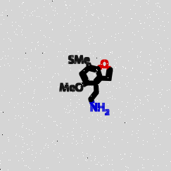 COc1cc(SC)c2occc2c1CCN